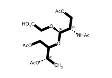 CC(=O)N[C@@H](COC(C)=O)[C@H](OCC(=O)O)OC(COC(C)=O)[C@H](C)OC(C)=O